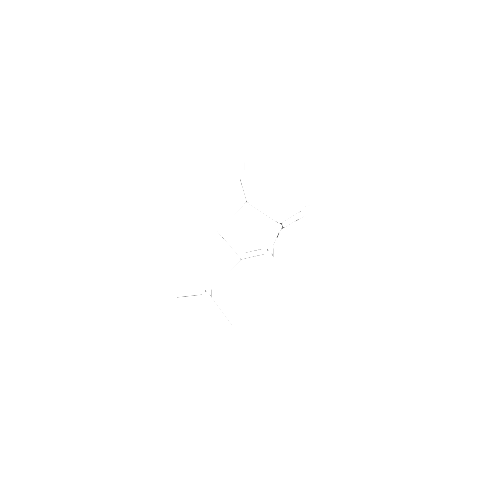 CCC1CC(N(C)C)=NC1=O